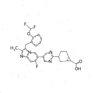 Cc1nc2cc(F)c(-c3cnc(C4CCC5C(C4)C5C(=O)O)nc3)cn2c1Cc1ccccc1OC(F)F